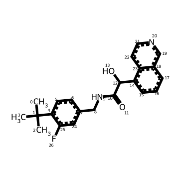 CC(C)(C)c1ccc(CNC(=O)C(O)c2cccc3cnccc23)cc1F